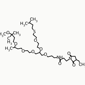 CCC1CC(=O)N(CCC(=O)NCCCOCC(COCCOCCC(C)OCCC(C)(C)OC)OCCOCCSCCC(C)C)C1=O